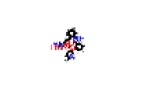 Cc1ccc(Oc2ccccc2C(=O)Nc2ccccc2C=CC(=O)NO)cn1